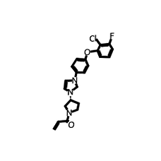 C=CC(=O)N1CC[C@@H](N2C=CN(c3ccc(Oc4cccc(F)c4Cl)cc3)C2)C1